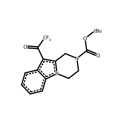 CC(C)(C)OC(=O)N1CCn2c(c(C(=O)C(F)(F)F)c3ccccc32)C1